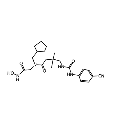 CC(C)(CNC(=O)Nc1ccc(C#N)cc1)CC(=O)N(CC(=O)NO)CC1CCCC1